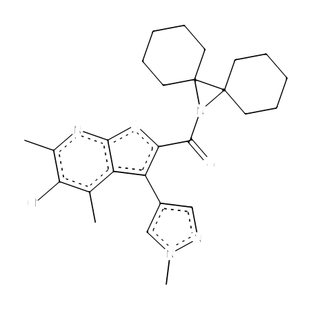 Cc1nc2sc(C(=O)N3C4(CCCCC4)C34CCCCC4)c(-c3cnn(C)c3)c2c(C)c1Cl